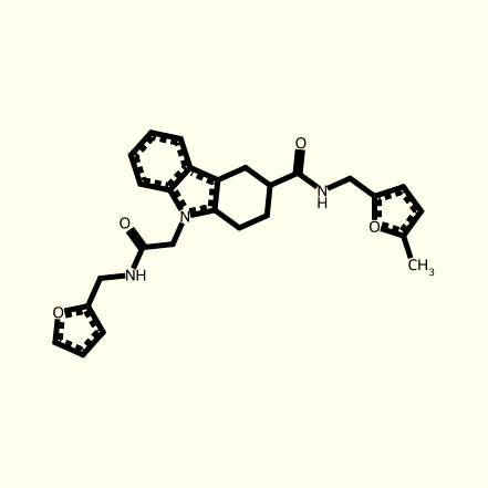 Cc1ccc(CNC(=O)C2CCc3c(c4ccccc4n3CC(=O)NCc3ccco3)C2)o1